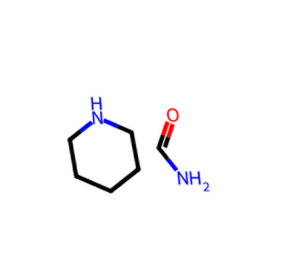 C1CCNCC1.NC=O